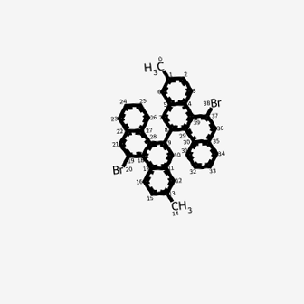 Cc1ccc2c(c1)cc(-c1cc3cc(C)ccc3c3c(Br)cc4ccccc4c13)c1c3ccccc3cc(Br)c21